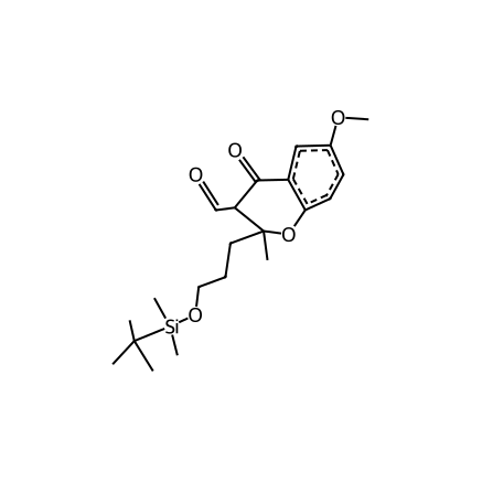 COc1ccc2c(c1)C(=O)C(C=O)C(C)(CCCO[Si](C)(C)C(C)(C)C)O2